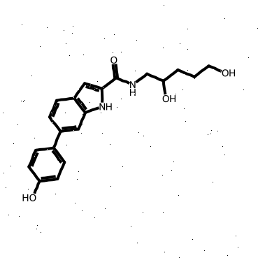 O=C(NCC(O)CCCO)c1cc2ccc(-c3ccc(O)cc3)cc2[nH]1